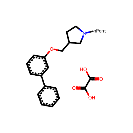 CCCCCN1CCC(COc2cccc(-c3ccccc3)c2)C1.O=C(O)C(=O)O